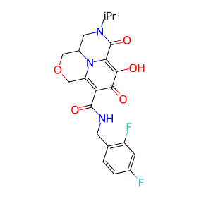 CC(C)N1CC2COCc3c(C(=O)NCc4ccc(F)cc4F)c(=O)c(O)c(n32)C1=O